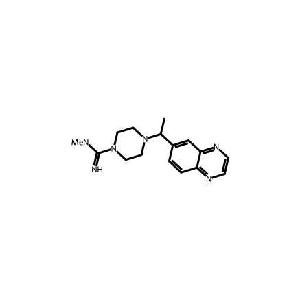 CNC(=N)N1CCN(C(C)c2ccc3nccnc3c2)CC1